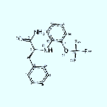 NC(=O)[C@H](Cc1ccccc1)Nc1ccccc1OC(F)(F)F